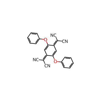 N#CC(C#N)=c1cc(Oc2ccccc2)c(=C(C#N)C#N)cc1Oc1ccccc1